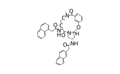 CN1CCC[C@H](NC(=O)Cc2cccc3ccccc23)C(=O)N2C[C@@H](NC(=O)Cc3ccc4ccccc4c3)C[C@H]2COc2cccc(c2)C1=O